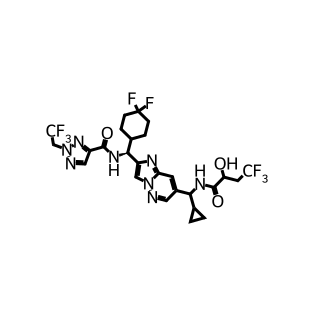 O=C(N[C@H](c1cn2ncc(C(NC(=O)C(O)CC(F)(F)F)C3CC3)cc2n1)C1CCC(F)(F)CC1)c1cnn(CC(F)(F)F)n1